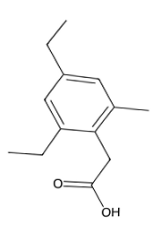 CCc1cc(C)c(CC(=O)O)c(CC)c1